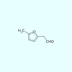 Cc1ccc(CC=O)o1